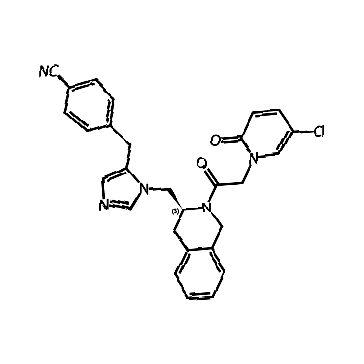 N#Cc1ccc(Cc2cncn2C[C@@H]2Cc3ccccc3CN2C(=O)Cn2cc(Cl)ccc2=O)cc1